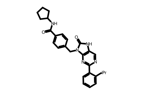 CC(C)c1ccccc1-c1ncc2[nH]c(=O)n(Cc3ccc(C(=O)NC4CCCC4)cc3)c2n1